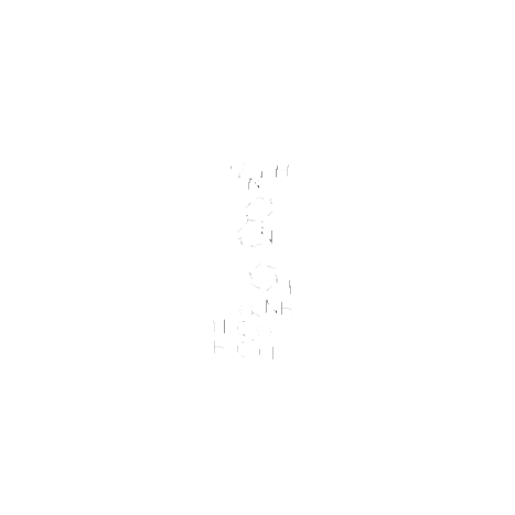 CN(C=O)c1ccc2nc(-c3ccc(NC(=O)OC(C)(C)C)c(F)c3)ccc2c1